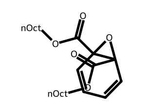 CCCCCCCCOC(=O)C12C=CC=CC1(C(=O)OCCCCCCCC)O2